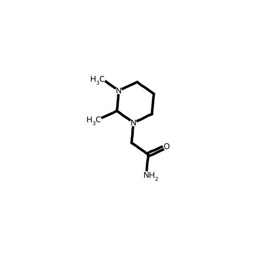 CC1N(C)CCCN1CC(N)=O